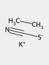 CC.N#C[S-].[K+]